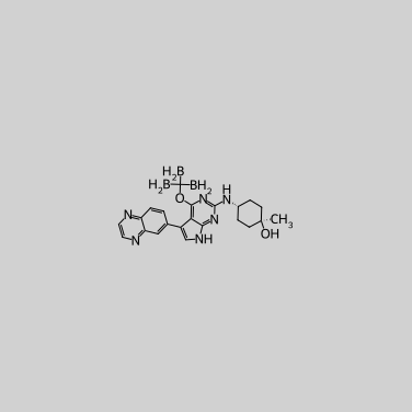 BC(B)(B)Oc1nc(N[C@H]2CC[C@](C)(O)CC2)nc2[nH]cc(-c3ccc4nccnc4c3)c12